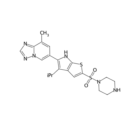 Cc1cc(-c2[nH]c3sc(S(=O)(=O)N4CCNCC4)cc3c2C(C)C)cn2ncnc12